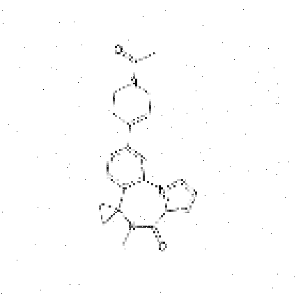 CC(=O)N1CC=C(c2ccc3c(c2)-n2cccc2C(=O)N(C)C32CC2)CC1